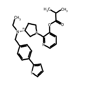 CCN(Cc1ccc(-c2cccs2)cc1)[C@@H]1CCN(c2ncccc2OC(=O)C(C)C)C1